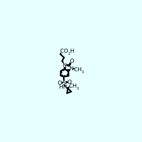 Cn1c(=O)n(CCCC(=O)O)c2ccc(S(=O)(=O)NC3(C)CC3)cc21